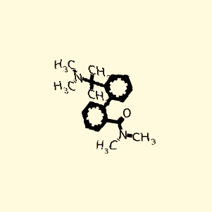 CN(C)C(=O)c1ccccc1-c1ccccc1C(C)(C)N(C)C